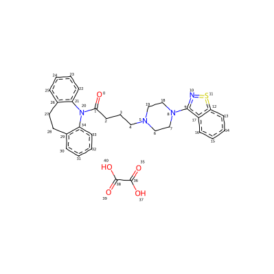 O=C(CCCN1CCN(c2nsc3ccccc23)CC1)N1c2ccccc2CCc2ccccc21.O=C(O)C(=O)O